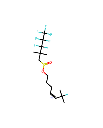 CC(C)(F)/C=C\CCCOS(=O)CC(C)(C)C(F)(F)C(F)(F)C(F)(F)F